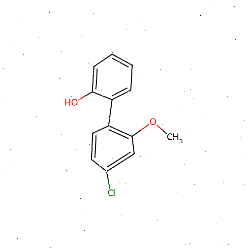 COc1cc(Cl)ccc1-c1cc[c]cc1O